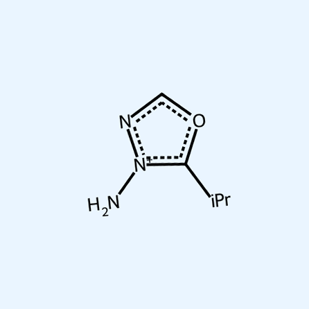 CC(C)c1ocn[n+]1N